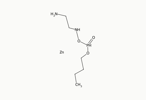 CCCCO[PH](=O)ONCCN.[Zn]